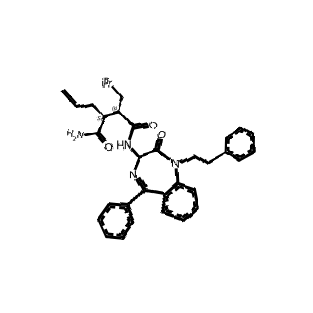 C=CC[C@H](C(N)=O)[C@@H](CC(C)C)C(=O)NC1N=C(c2ccccc2)c2ccccc2N(CCc2ccccc2)C1=O